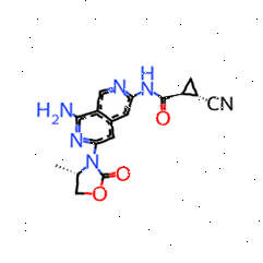 C[C@H]1COC(=O)N1c1cc2cc(NC(=O)[C@H]3C[C@@H]3C#N)ncc2c(N)n1